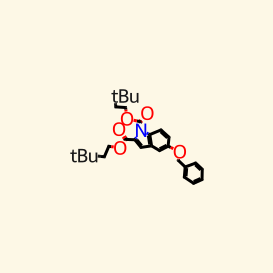 CC(C)(C)CCOC(=O)c1cc2cc(OCc3ccccc3)ccc2n1C(=O)OCCC(C)(C)C